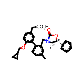 Cc1ccc(-c2cc(CC(=O)O)ccc2OCC2CC2)c(CN2C(=O)O[C@H](c3ccccc3)[C@@H]2C)c1